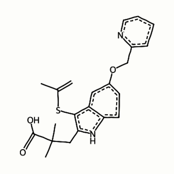 C=C(C)Sc1c(CC(C)(C)C(=O)O)[nH]c2ccc(OCc3ccccn3)cc12